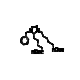 CCCCCCCCCCCCCCCN1C=CN(Cc2ccccc2)C1CCCCCCCCCCCCCC